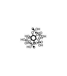 O=P(O)(O)O[C@@H]1[C@@H](OP(=O)(O)O)[C@H](OP(=O)(O)O)[C@@H](O)[C@@H](OP(=O)(O)O)[C@H]1OP(=O)(O)O